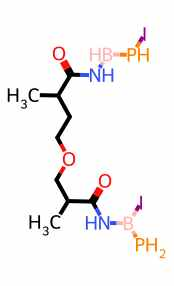 CC(CCOCC(C)C(=O)NB(P)I)C(=O)NBPI